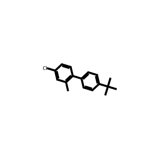 Cc1cc(Cl)ccc1-c1ccc(C(C)(C)C)cc1